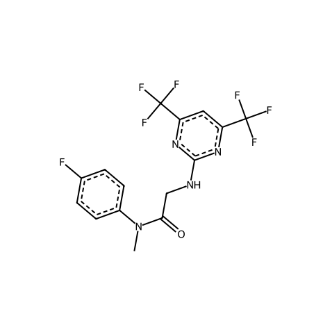 CN(C(=O)CNc1nc(C(F)(F)F)cc(C(F)(F)F)n1)c1ccc(F)cc1